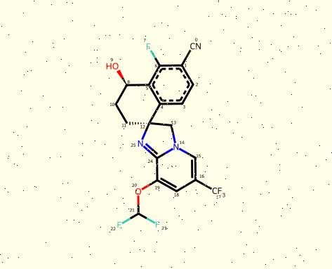 N#Cc1ccc2c(c1F)[C@H](O)CC[C@@]21CN2C=C(C(F)(F)F)C=C(OC(F)F)C2=N1